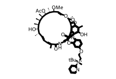 CO[C@H]1/C=C/O[C@@]2(C)Oc3c(C)c(O)c4c(=O)c(c5oc6cc(OCC[N+](C)(c7ccccn7)C(C)(C)C)ccc6nc-5c4c3C2=O)NC(=O)/C(C)=C\C=C\[C@H](C)[C@H](O)[C@@H](C)[C@@H](C)[C@@H](C)[C@H](OC(C)=O)[C@@H]1C